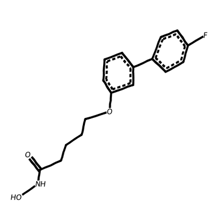 O=C(CCCCOc1cccc(-c2ccc(F)cc2)c1)NO